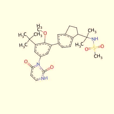 COc1c(-c2ccc3c(c2)CCC3C(C)(C)NS(C)(=O)=O)cc(-n2c(=O)cc[nH]c2=O)cc1C(C)(C)C